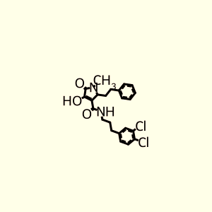 CN1C(=O)C(O)=C(C(=O)NCCCc2ccc(Cl)c(Cl)c2)C1CCc1ccccc1